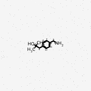 CC(C)(O)Cc1ccc(CN)cc1